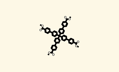 COC(=O)c1ccc(-c2ccc(C(c3ccc(-c4ccc(C(=O)OC)cc4)cc3)(c3ccc(-c4ccc(C(=O)OC)cc4)cc3)c3ccc(-c4ccc(C(=O)OC)cc4)cc3)cc2)cc1